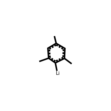 [Li][c]1c(C)cc(C)cc1C